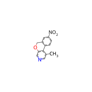 Cc1cncc2c1-c1ccc([N+](=O)[O-])cc1CO2